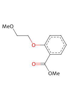 COCCOc1ccccc1C(=O)OC